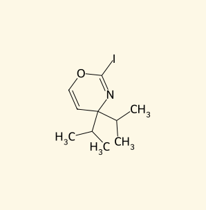 CC(C)C1(C(C)C)C=COC(I)=N1